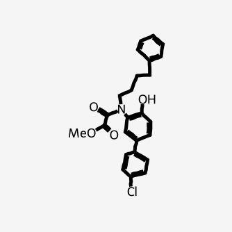 COC(=O)C(=O)N(CCCCc1ccccc1)c1cc(-c2ccc(Cl)cc2)ccc1O